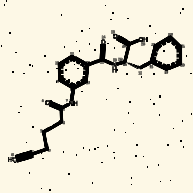 C#CCCCC(=O)Nc1cccc(C(=O)N[C@@H](Cc2ccccc2)C(=O)O)c1